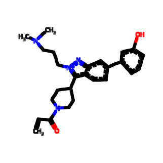 C=CC(=O)N1CCC(c2c3ccc(-c4cccc(O)c4)cc3nn2CCCN(C)C)CC1